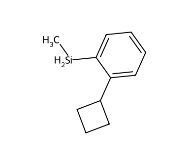 C[SiH2]c1ccccc1C1CCC1